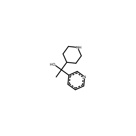 CC(O)(c1cccnc1)C1CCNCC1